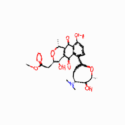 COC(=O)C[C@H]1O[C@H](C)C2=C(C(=O)c3c(C4C[C@@H](N(C)C)C(O)[C@@H](C)O4)ccc(O)c3C2=O)[C@H]1O